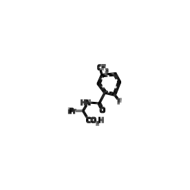 CC(C)C(NC(=O)c1cc(C(F)(F)F)ccc1F)C(=O)O